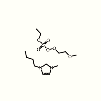 CCCCN1C=CN(C)C1.CCOS(=O)(=O)OOCCOC